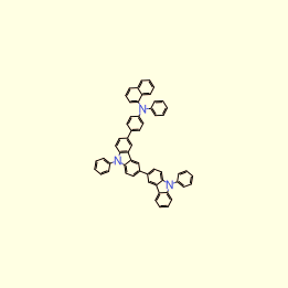 c1ccc(N(c2ccc(-c3ccc4c(c3)c3cc(-c5ccc6c(c5)c5ccccc5n6-c5ccccc5)ccc3n4-c3ccccc3)cc2)c2cccc3ccccc23)cc1